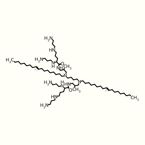 CCCCCCCC/C=C/CCCCCCCCN(CCCCN(CCCCCCCC/C=C/CCCCCCCC)CC(C)CNC(=O)C(CCCNCCCN)NCCCN)CC(C)CNC(=O)C(CCCNCCCN)NCCCN